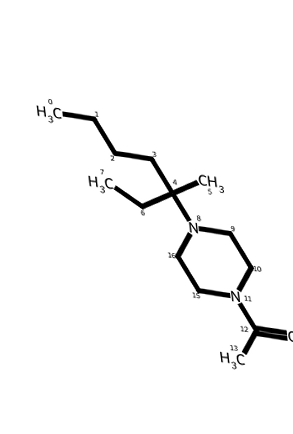 CCCCC(C)(CC)N1CCN(C(C)=O)CC1